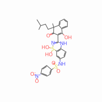 CC(C)CCC1(C)C(=O)C(C2=NS(O)(O)c3cc(NS(=O)(=O)c4ccc([N+](=O)[O-])cc4)ccc3N2)=C(O)c2ccccc21